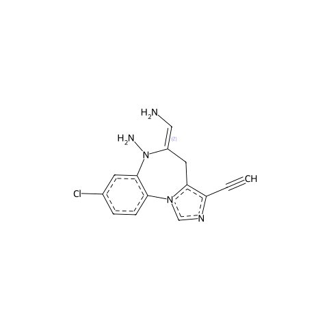 C#Cc1ncn2c1C/C(=C/N)N(N)c1cc(Cl)ccc1-2